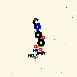 CC(C)Cc1cn(-c2ccc3c(c2)oc2ccc(S(=O)(=O)NC(C(=O)O)C(C)C)cc23)nn1